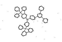 c1ccc(-c2cc(-c3ccccc3)cc(-c3ccc(N(c4ccc(C5(c6ccccc6)c6ccccc6-c6ccccc65)cc4)c4ccc5c(c4)-c4ccccc4C5(c4ccccc4)c4ccccc4)cc3)c2)cc1